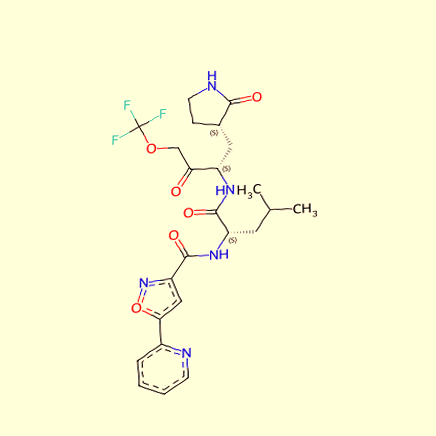 CC(C)C[C@H](NC(=O)c1cc(-c2ccccn2)on1)C(=O)N[C@@H](C[C@@H]1CCNC1=O)C(=O)COC(F)(F)F